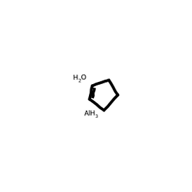 C1=CCCC1.O.[AlH3]